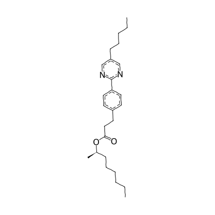 CCCCCC[C@@H](C)OC(=O)CCc1ccc(-c2ncc(CCCCC)cn2)cc1